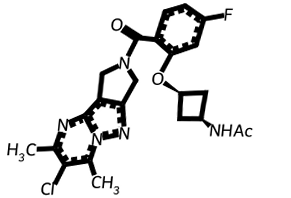 CC(=O)N[C@H]1C[C@@H](Oc2cc(F)ccc2C(=O)N2Cc3nn4c(C)c(Cl)c(C)nc4c3C2)C1